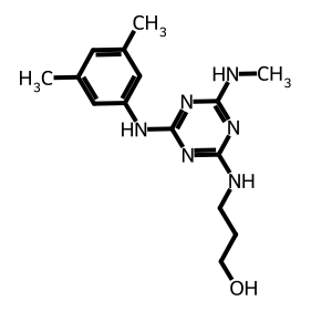 CNc1nc(NCCCO)nc(Nc2cc(C)cc(C)c2)n1